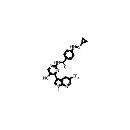 C[C@@H](Nc1ncc(C#N)c(-c2c[nH]c3ncc(C(F)(F)F)cc23)n1)c1ccc(NSC2CC2)cc1